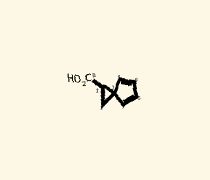 O=C(O)C1CC12C=CC=C2